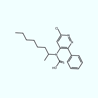 CCCCCCC(C)N(C(O)=S)c1cc(Cl)nnc1-c1ccccc1